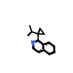 CC(C)C1(c2nccc3ccccc23)CC1